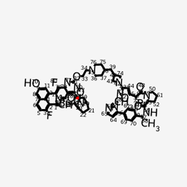 C#Cc1c(F)ccc2cc(O)cc(-c3ncc4c(N5CC6CCC(C5)N6C(=O)OC(C)(C)C)nc(OCCN5CCC(CC6CN(c7cc(C(C(=O)N8CCCC8C(=O)NC(C)c8ccc(-c9ccnn9C)cc8)C(C)C)on7)C6)CC5)nc4c3F)c12